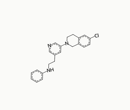 Clc1ccc2c(c1)CCN(c1cncc(CCNc3ccccc3)c1)C2